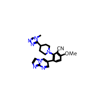 COc1ccc(-c2cnc3nccn3c2)c(N2CCC(c3nncn3C)CC2)c1C#N